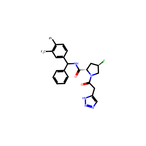 CC(C)c1ccc(C(NC(=O)[C@@H]2C[C@@H](F)CN2C(=O)Cc2cnn[nH]2)c2ccccc2)cc1C(F)(F)F